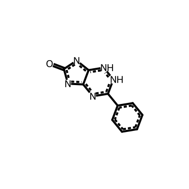 O=c1nc2nc(-c3ccccc3)[nH][nH]c-2n1